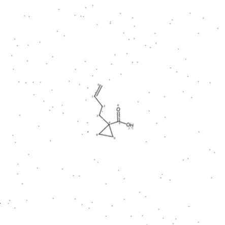 C=CCCC1(C(=O)O)CC1